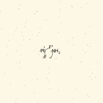 CN.[F][Pb][F]